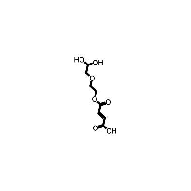 O=C(O)C=CC(=O)OCCOCC(O)O